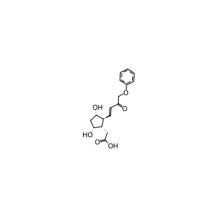 O=C(O)C[C@H]1[C@H](C=CC(=O)COc2ccccc2)[C@@H](O)C[C@H]1O